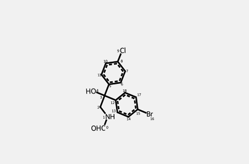 O=CNCC(O)(c1ccc(Cl)cc1)c1ccc(Br)cc1